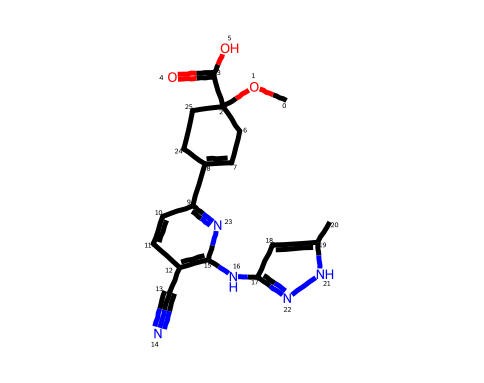 COC1(C(=O)O)CC=C(c2ccc(C#N)c(Nc3cc(C)[nH]n3)n2)CC1